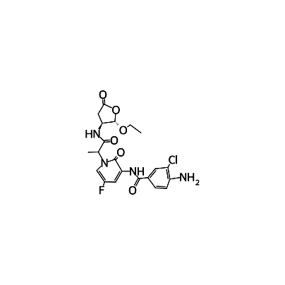 CCO[C@H]1OC(=O)C[C@@H]1NC(=O)C(C)n1cc(F)cc(NC(=O)c2ccc(N)c(Cl)c2)c1=O